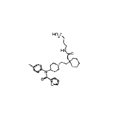 Cc1ccc(N(C(=O)c2ccco2)C2CCN(CCC3(CC(=O)NCCCC(=O)O)CCCCC3)CC2)cc1